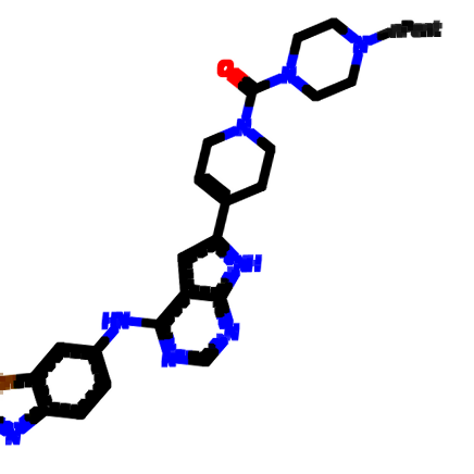 CCCCCN1CCN(C(=O)N2CC=C(c3cc4c(Nc5ccc6ncsc6c5)ncnc4[nH]3)CC2)CC1